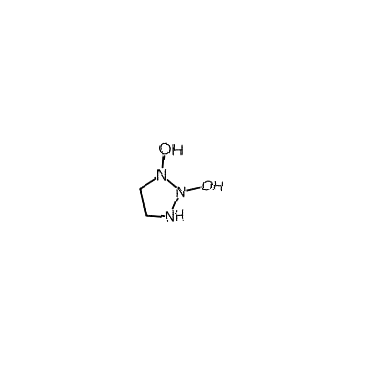 ON1CCNN1O